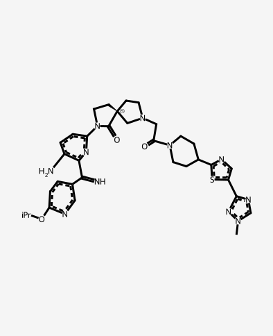 CC(C)Oc1ccc(C(=N)c2nc(N3CC[C@]4(CCN(CC(=O)N5CCC(c6ncc(-c7ncn(C)n7)s6)CC5)C4)C3=O)ccc2N)cn1